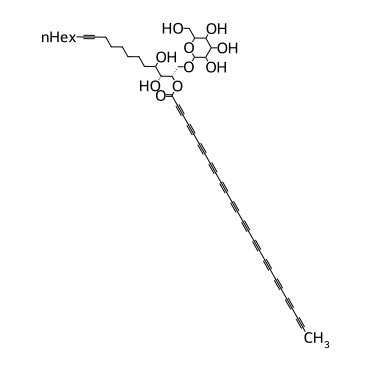 CC#CC#CC#CC#CC#CC#CC#CC#CC#CC#CC#CC#CC(=O)O[C@@H](COC1OC(CO)C(O)C(O)C1O)[C@H](O)C(O)CCCCCCC#CCCCCCC